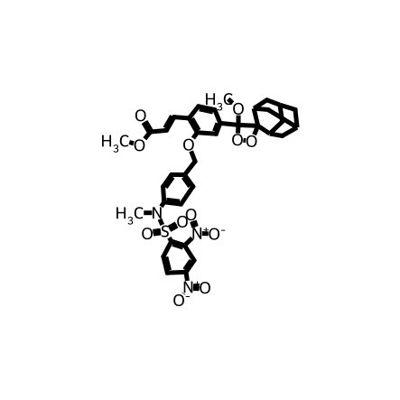 COC(=O)/C=C/c1ccc(C2(OC)OOC23C2CC4CC(C2)CC3C4)cc1OCc1ccc(N(C)S(=O)(=O)c2ccc([N+](=O)[O-])cc2[N+](=O)[O-])cc1